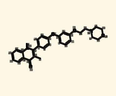 Cc1c(-c2ccc(Oc3cccc(OCCN4CCOCC4)c3)cc2)[nH]c2ccccc2c1=O